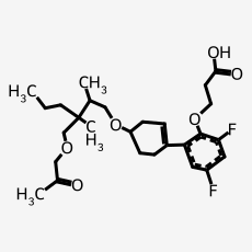 CCCC(C)(COCC(C)=O)C(C)COC1CC=C(c2cc(F)cc(F)c2OCCC(=O)O)CC1